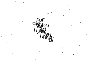 CC(C)(C)[C@H](c1cc(-c2cc(F)ccc2F)cn1Cc1ccccc1)N(CC[C@H](N)C(=O)NCCNC(O)CNC(=O)CBr)C(=O)CO